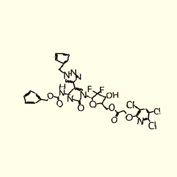 O=C(COc1nc(Cl)c(Cl)cc1Cl)OCC1O[C@@H](n2cc(-c3cn(Cc4ccccc4)nn3)c(NC(=O)OCc3ccccc3)nc2=O)C(F)(F)C1O